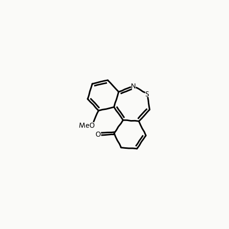 COc1cccc2c1=C1C(=O)CC=CC1=CSN=2